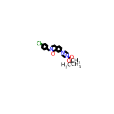 CC(C)(C)OC(=O)N1CCN(c2ccc3c(c2)C(=O)N(Cc2ccc(Cl)cc2)CC3)CC1